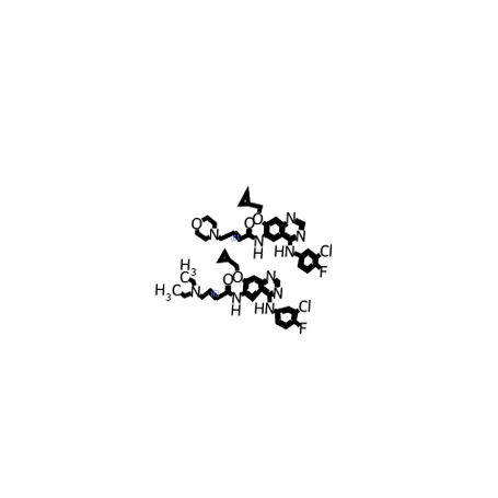 CCN(CC)C/C=C/C(=O)Nc1cc2c(Nc3ccc(F)c(Cl)c3)ncnc2cc1OCC1CC1.O=C(/C=C/CN1CCOCC1)Nc1cc2c(Nc3ccc(F)c(Cl)c3)ncnc2cc1OCC1CC1